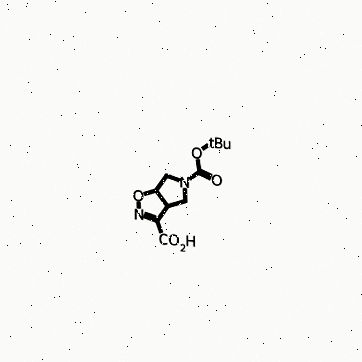 CC(C)(C)OC(=O)N1CC2ON=C(C(=O)O)C2C1